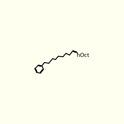 CCCCCCCC/C=C\CCCCCCCCc1[c]cccc1